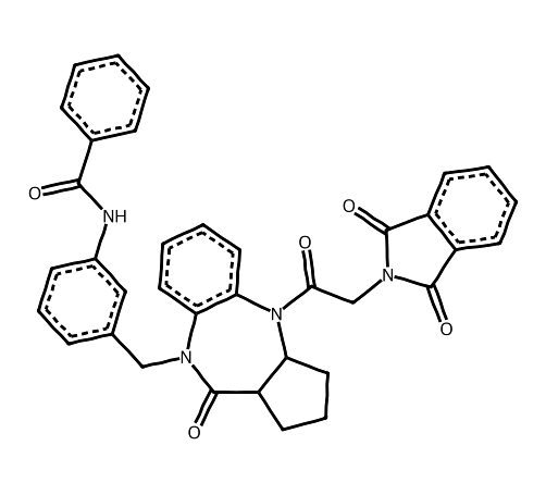 O=C(Nc1cccc(CN2C(=O)C3CCCC3N(C(=O)CN3C(=O)c4ccccc4C3=O)c3ccccc32)c1)c1ccccc1